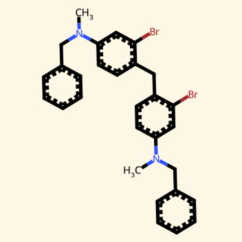 CN(Cc1ccccc1)c1ccc(Cc2ccc(N(C)Cc3ccccc3)cc2Br)c(Br)c1